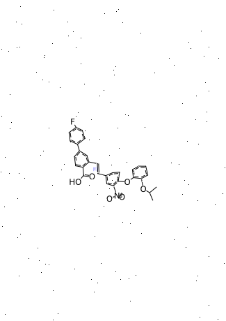 CC(C)Oc1ccccc1Oc1ccc(/C=C/c2cc(-c3ccc(F)cc3)ccc2C(=O)O)cc1[N+](=O)[O-]